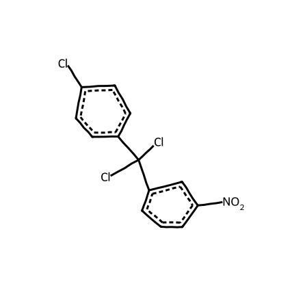 O=[N+]([O-])c1cccc(C(Cl)(Cl)c2ccc(Cl)cc2)c1